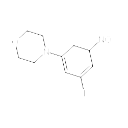 O=[N+]([O-])C1C=C(I)C=C(N2CCOCC2)C1